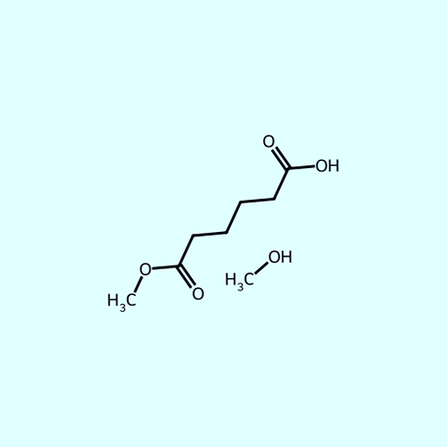 CO.COC(=O)CCCCC(=O)O